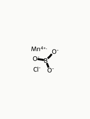 [Cl-].[Mn+4].[O-]B([O-])[O-]